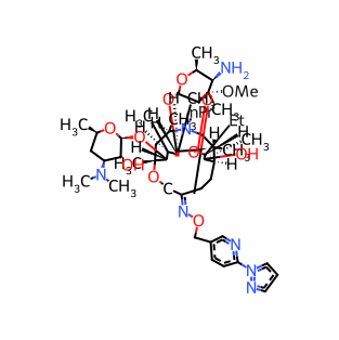 CCCN1C[C@H](C)[C@H]2CC/C(=N\OCc3ccc(-n4cccn4)nc3)CO[C@](C)(C[C@H]1C)[C@H](O[C@@H]1O[C@H](C)C[C@H](N(C)C)[C@H]1O)[C@@H](C)[C@H](O[C@H]1C[C@@](C)(OC)[C@H](N)[C@H](C)O1)[C@@H](C)C(=O)O[C@H](CC)[C@@]2(C)O